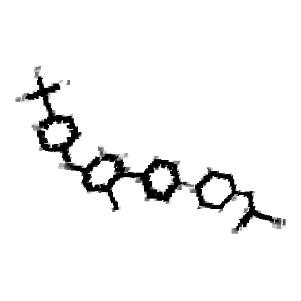 Cc1cc(Nc2ccc(C(F)(F)F)nc2)nnc1-c1ccc([C@H]2CC[C@H](CC(=O)O)CC2)cc1